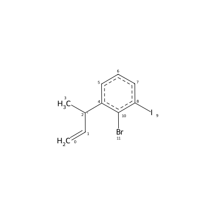 C=C[C](C)c1cccc(I)c1Br